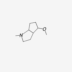 COC1CCC2C1CCN2C